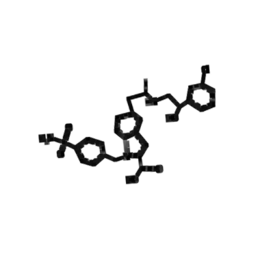 CC(Cc1ccc2c(c1)cc(C(=O)O)n2Cc1ccc(S(N)(=O)=O)cc1)NCC(O)c1cccc(Cl)c1